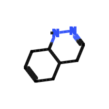 C1=CCC2[N]N=CCC2C1